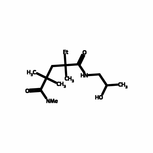 CCC(C)(CC(C)(C)C(=O)NC)C(=O)NCC(C)O